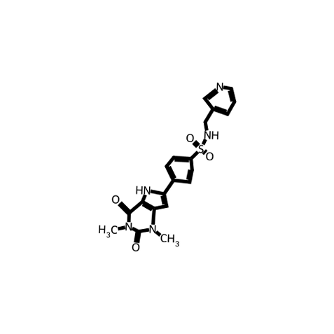 Cn1c(=O)c2[nH]c(-c3ccc(S(=O)(=O)NCc4cccnc4)cc3)cc2n(C)c1=O